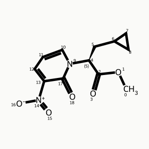 COC(=O)[C@H](CC1CC1)n1cccc([N+](=O)[O-])c1=O